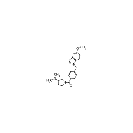 COc1ccc2c(ccn2Cc2ccc(C(=O)N3CCC(N(C)C)C3)cc2)c1